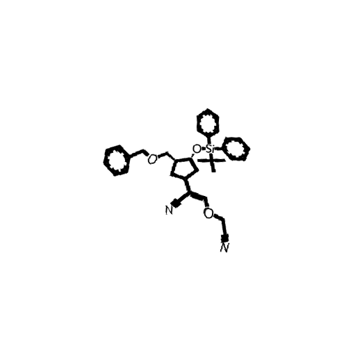 CC(C)(C)[Si](O[C@@H]1CC(/C(C#N)=C/OCC#N)C[C@H]1COCc1ccccc1)(c1ccccc1)c1ccccc1